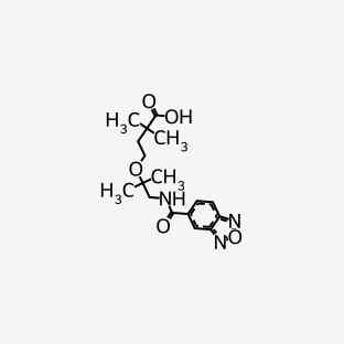 CC(C)(CNC(=O)c1ccc2nonc2c1)OCCC(C)(C)C(=O)O